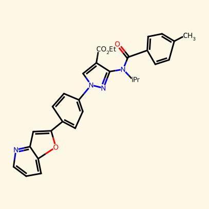 CCOC(=O)c1cn(-c2ccc(-c3cc4ncccc4o3)cc2)nc1N(C(=O)c1ccc(C)cc1)C(C)C